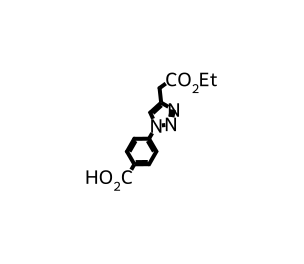 CCOC(=O)Cc1cn(-c2ccc(C(=O)O)cc2)nn1